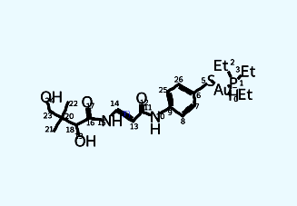 CC[PH](CC)(CC)[Au-][S]c1ccc(NC(=O)/C=C/NC(=O)C(O)C(C)(C)CO)cc1